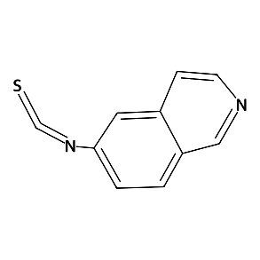 S=C=Nc1ccc2cnccc2c1